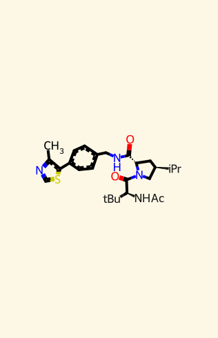 CC(=O)N[C@H](C(=O)N1C[C@H](C(C)C)C[C@H]1C(=O)NCc1ccc(-c2scnc2C)cc1)C(C)(C)C